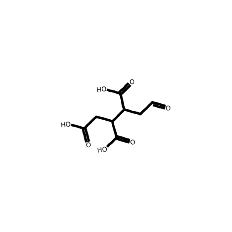 O=CCC(C(=O)O)C(CC(=O)O)C(=O)O